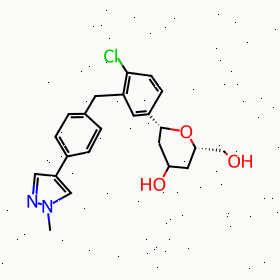 Cn1cc(-c2ccc(Cc3cc([C@H]4CC(O)C[C@@H](CO)O4)ccc3Cl)cc2)cn1